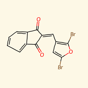 O=C1C(=Cc2cc(Br)oc2Br)C(=O)c2ccccc21